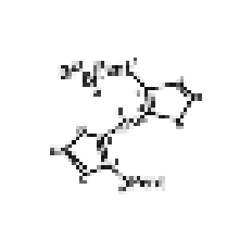 CCCC(C)C1=[C]([Zr+2][C]2=C(C(C)CCC)C=CC2)CC=C1.[Br-].[Br-]